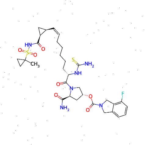 CC1(S(=O)(=O)NC(=O)[C@H]2C[C@H]2/C=C\CCCCC[C@H](NC(N)=S)C(=O)N2C[C@H](OC(=O)N3Cc4cccc(F)c4C3)C[C@H]2C(N)=O)CC1